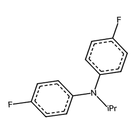 CC(C)N(c1ccc(F)cc1)c1ccc(F)cc1